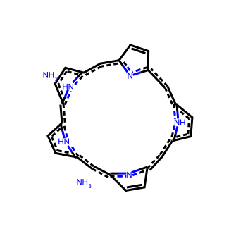 C1=Cc2cc3ccc([nH]3)c3ccc(cc4nc(cc5ccc(cc1n2)[nH]5)C=C4)[nH]3.N.N